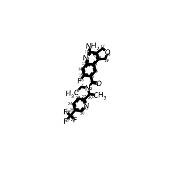 CCN(C(=O)c1cc2c3c(c(N)nc2cc1F)COC3)C(C)c1ccc(C(F)(F)F)cn1